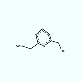 COCc1nccc(CO)n1